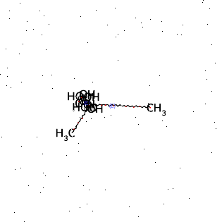 CCCCCCCCCCCCCCCCCC/C=C/CCCCCCCCC(=O)N[C@@H](/C=C/[C@H]1OC(CO)[C@H](O)[C@H](O)C1O)[C@H](O)[C@H](O)CCCCCCCCCCCCCC